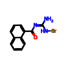 NC(=NC(=O)c1cccc2ccccc12)NBr